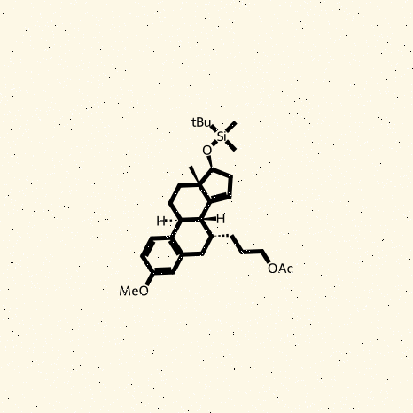 COc1ccc2c(c1)C[C@@H](CCCOC(C)=O)[C@H]1C3=CC[C@H](O[Si](C)(C)C(C)(C)C)[C@@]3(C)CC[C@H]21